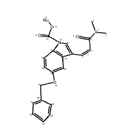 CN(C)C(=O)/C=C\c1cn(C(=O)OC(C)(C)C)c2ccc(OCc3ccccc3)cc12